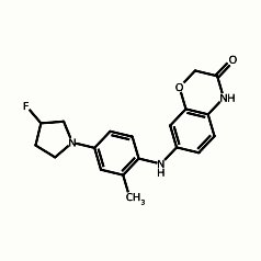 Cc1cc(N2CCC(F)C2)ccc1Nc1ccc2c(c1)OCC(=O)N2